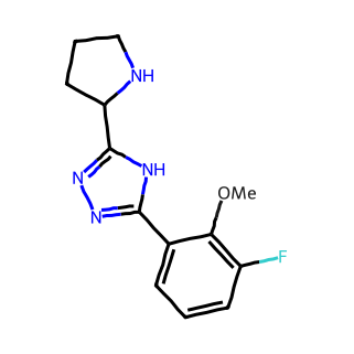 COc1c(F)cccc1-c1nnc(C2CCCN2)[nH]1